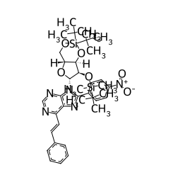 CC(C)(C)[Si](C)(C)O[C@@H]1[C@@H]2O[Si](C(C)(C)C)(C(C)(C)C)OC[C@H]2O[C@H]1n1c(-c2ccc([N+](=O)[O-])cc2)nc2c(/C=C/c3ccccc3)ncnc21